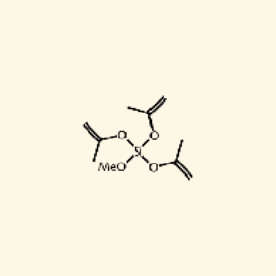 C=C(C)O[Si](OC)(OC(=C)C)OC(=C)C